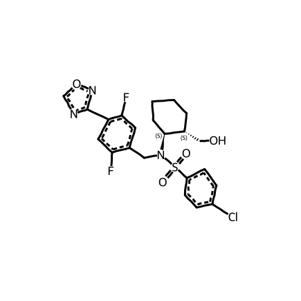 O=S(=O)(c1ccc(Cl)cc1)N(Cc1cc(F)c(-c2ncon2)cc1F)[C@H]1CCCC[C@@H]1CO